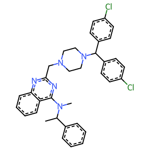 CC(c1ccccc1)N(C)c1nc(CN2CCN(C(c3ccc(Cl)cc3)c3ccc(Cl)cc3)CC2)nc2ccccc12